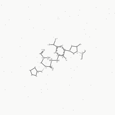 CC1CN(c2nc(C(F)F)nc(NNC(=O)[C@H](CC3CCCC3)CN(O)C=O)c2F)C[C@H]1N(C)C